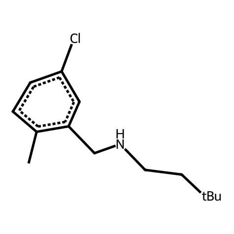 Cc1ccc(Cl)cc1CNCCC(C)(C)C